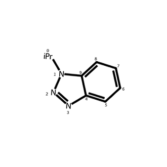 CC(C)n1nnc2ccccc21